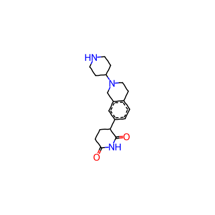 O=C1CCC(c2ccc3c(c2)CN(C2CCNCC2)CC3)C(=O)N1